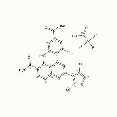 COC(=O)c1cc(I)cc(Nc2c(C(N)=O)cnc3cc(-c4c(C)noc4C)ccc23)c1.O=C(O)C(F)(F)F